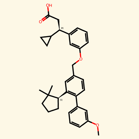 COc1cccc(-c2ccc(COc3cccc([C@H](CC(=O)O)C4CC4)c3)cc2[C@H]2CCCC2(C)C)c1